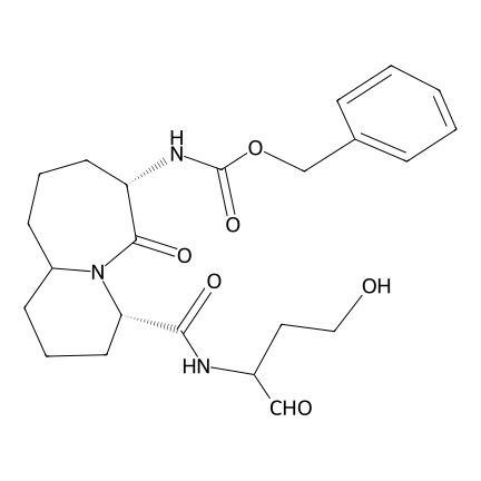 O=CC(CCO)NC(=O)[C@@H]1CCCC2CCC[C@H](NC(=O)OCc3ccccc3)C(=O)N21